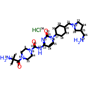 CC(C)(N)C(=O)N1CCN(C(=O)Nc2ccn(C3CCC(CN4CCC(CN)C4)CC3)c(=O)n2)CC1.Cl